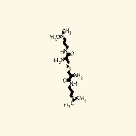 CN(C)CCCNC(=O)C(N)CSSCC(N)C(=O)NCCCN(C)C